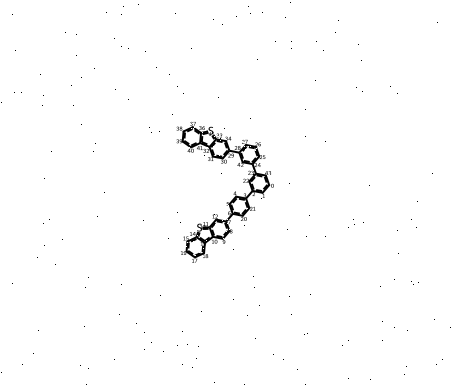 c1cc(-c2ccc(-c3ccc4c(c3)sc3ccccc34)cc2)cc(-c2cccc(-c3ccc4c(c3)sc3ccccc34)c2)c1